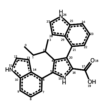 CCC(C)c1c(-c2cccc3[nH]ccc23)[nH]c(C(=O)O)c1-c1cccc2[nH]ccc12